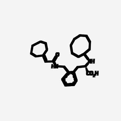 O=C(C=C1CCCCCC1)NCc1ccccc1C[C@H](NC1CCCCCCCC1)C(=O)O